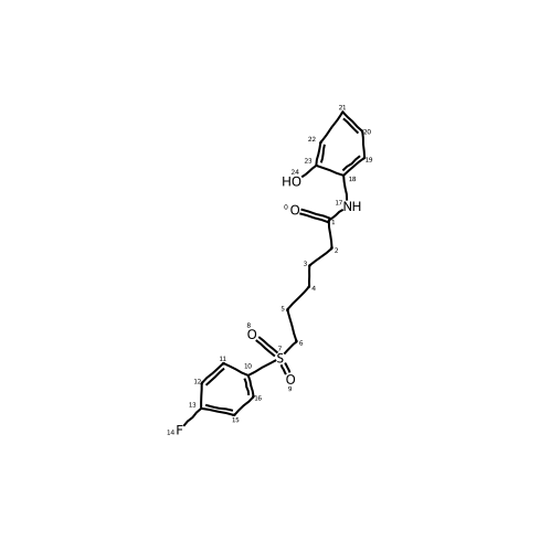 O=C(CCCCCS(=O)(=O)c1ccc(F)cc1)Nc1ccccc1O